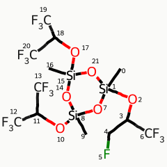 C[Si]1(OC(CF)C(F)(F)F)O[Si](C)(OC(C(F)(F)F)C(F)(F)F)O[Si](C)(OC(C(F)(F)F)C(F)(F)F)O1